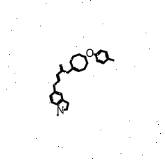 C=C(/C=C/Cc1ccc2c(c1)CCN2C)C/C1=C/CCC(Oc2ccc(C)cc2)CCC1